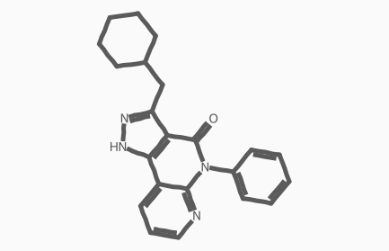 O=c1c2c(CC3CCCCC3)n[nH]c2c2cccnc2n1-c1ccccc1